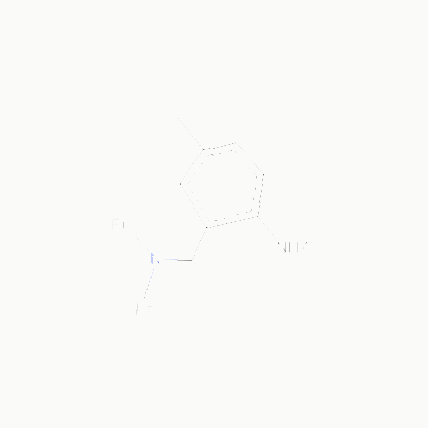 CCN(CC)Cc1cc(C)ccc1NC(C)=O